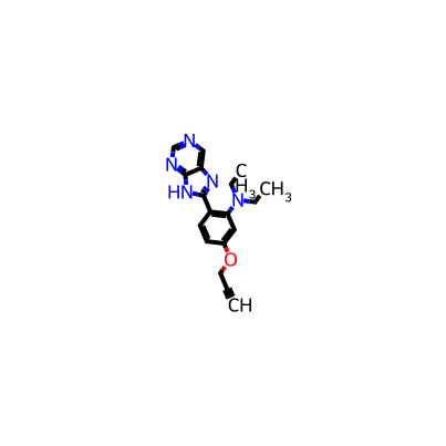 C#CCOc1ccc(-c2nc3cncnc3[nH]2)c(N(CC)CC)c1